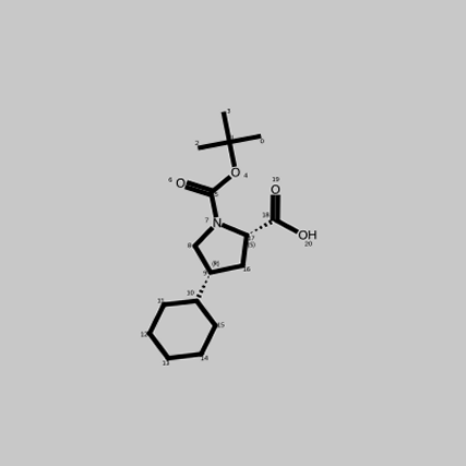 CC(C)(C)OC(=O)N1C[C@@H](C2CCCCC2)C[C@H]1C(=O)O